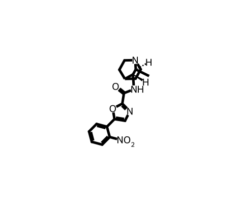 C[C@H]1[C@H](NC(=O)c2ncc(-c3ccccc3[N+](=O)[O-])o2)C2CCN1CC2